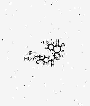 CC(C)C(CO)NC(=O)c1ccc(Nc2ncc3c(n2)-c2ccc(Cl)cc2NC(=O)C3)cc1